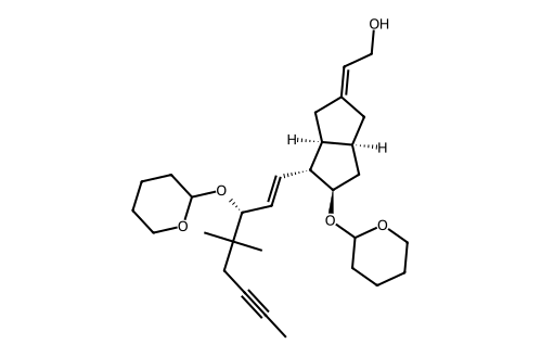 CC#CCC(C)(C)[C@@H](/C=C/[C@@H]1[C@H]2C/C(=C/CO)C[C@H]2C[C@H]1OC1CCCCO1)OC1CCCCO1